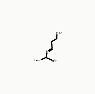 CCCCCC(CCC)N=CCCOC(C)=O